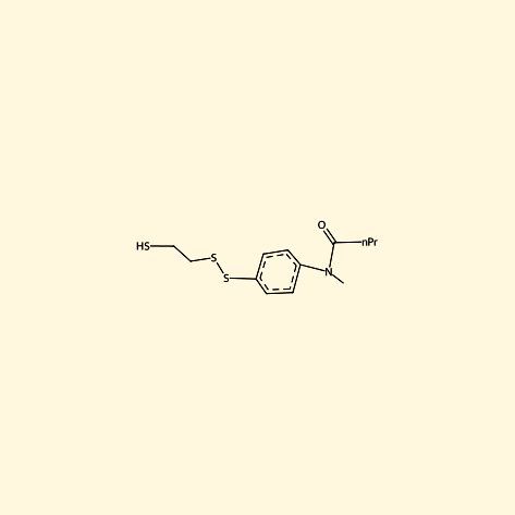 CCCC(=O)N(C)c1ccc(SSCCS)cc1